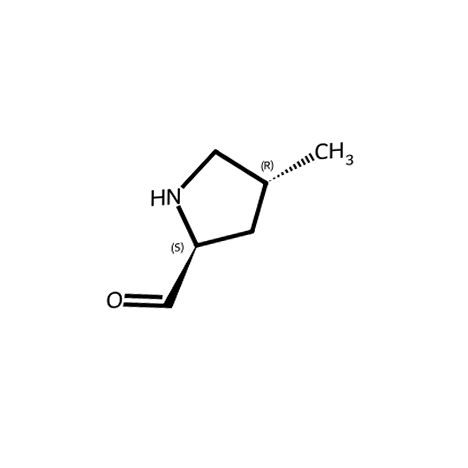 C[C@H]1CN[C@H](C=O)C1